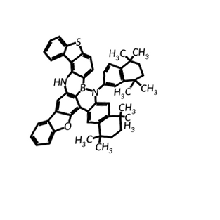 CC1(C)CCC(C)(C)c2cc(N3B4c5ccc6sc7ccccc7c6c5Nc5cc6c(oc7ccccc76)c(c54)-c4cc5c(cc43)C(C)(C)CCC5(C)C)ccc21